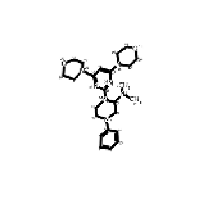 CN(C)C1CN(c2ccccc2)CCN1c1nc(N2CCOCC2)cc(N2CCOCC2)n1